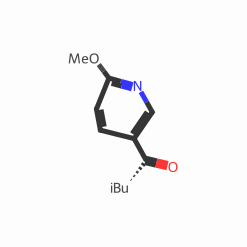 CC[C@@H](C)C(=O)c1ccc(OC)nc1